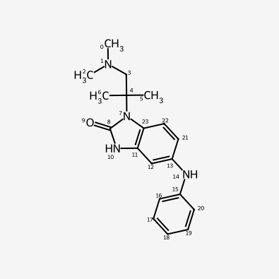 CN(C)CC(C)(C)n1c(=O)[nH]c2cc(Nc3ccccc3)ccc21